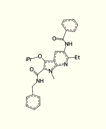 CCc1nc2c(cc1NC(=O)c1ccccc1)c(OC(C)C)c(C(=O)NCc1ccccc1)n2C